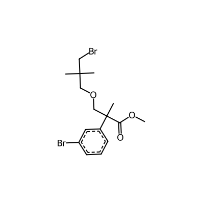 COC(=O)C(C)(COCC(C)(C)CBr)c1cccc(Br)c1